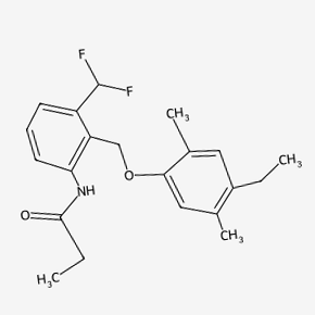 CCC(=O)Nc1cccc(C(F)F)c1COc1cc(C)c(CC)cc1C